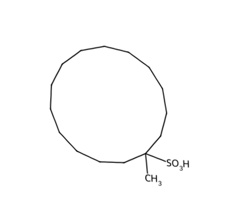 CC1(S(=O)(=O)O)CCCCCCCCCCCCCC1